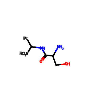 CC(C)C(NC(=O)C(N)CO)S(=O)(=O)O